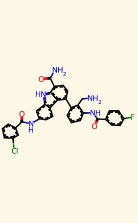 NCc1c(NC(=O)c2ccc(F)cc2)cccc1-c1ccc(C(N)=O)c2[nH]c3cc(NC(=O)c4cccc(Cl)c4)ccc3c12